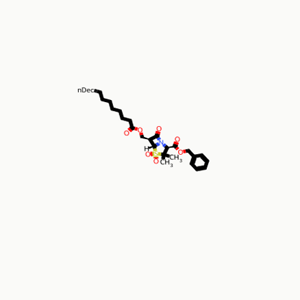 CCCCCCCCCCCCCCCCCC(=O)OC[C@H]1C(=O)N2[C@@H](C(=O)OCc3ccccc3)C(C)(C)S(=O)(=O)[C@H]12